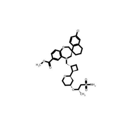 COC(=O)c1ccc2c(c1)N(C[C@@H]1CC[C@H]1[C@H]1C[C@H](O[C@@H](C)CS(N)(=O)=O)CCO1)C[C@@]1(CCCc3cc(Cl)ccc31)CO2